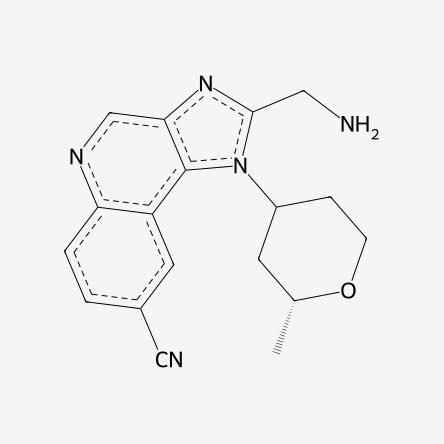 C[C@@H]1CC(n2c(CN)nc3cnc4ccc(C#N)cc4c32)CCO1